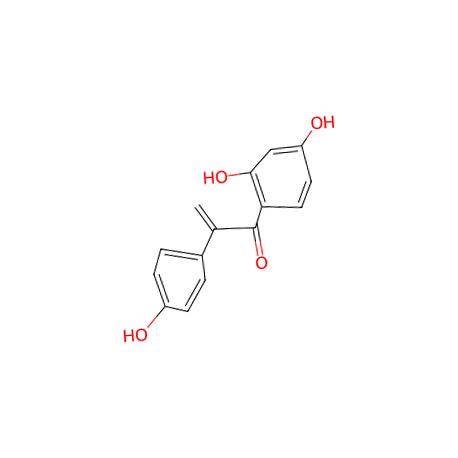 C=C(C(=O)c1ccc(O)cc1O)c1ccc(O)cc1